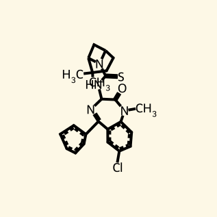 CN1C(=O)C(NC(=S)N2C3CCC(C)(C)C2C3)N=C(c2ccccc2)c2cc(Cl)ccc21